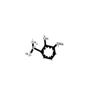 CSc1cccc(N(C)C)c1O